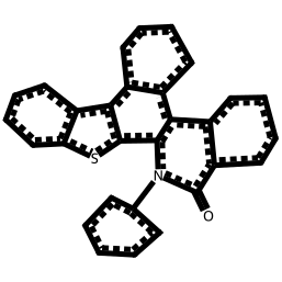 O=c1c2ccccc2c2c3ccccc3c3c4ccccc4sc3c2n1-c1ccccc1